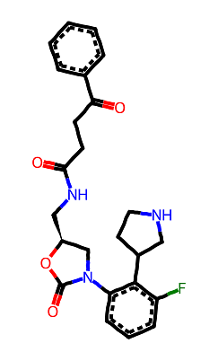 O=C(CCC(=O)c1ccccc1)NC[C@H]1CN(c2cccc(F)c2C2CCNC2)C(=O)O1